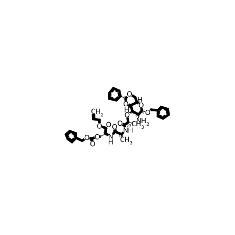 C=CCOC(=O)[C@@H](CCC(=O)OCc1ccccc1)NC(=O)[C@H](C)NC(=O)[C@@H](C)O[C@@H]1[C@@H](N)[C@@H](OCc2ccccc2)O[C@@H]2CO[C@@H](c3ccccc3)O[C@@H]12